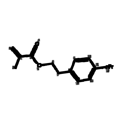 C=C(C)C(=O)OCCc1ccc(CCC)cc1